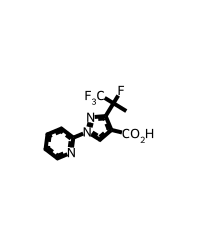 CC(F)(c1nn(-c2ccccn2)cc1C(=O)O)C(F)(F)F